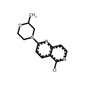 CC1CN(c2ccc3c(Cl)nccc3n2)CCO1